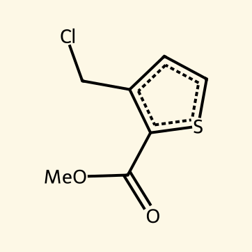 COC(=O)c1sccc1CCl